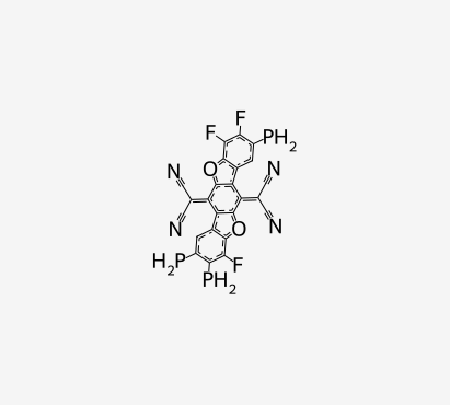 N#CC(C#N)=c1c2oc3c(F)c(P)c(P)cc3c2c(=C(C#N)C#N)c2oc3c(F)c(F)c(P)cc3c12